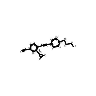 C#Cc1ccc(C#Cc2ccc(CCCC)cc2)c(C2CC2)c1